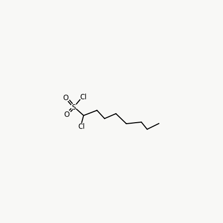 CCCCCCCC(Cl)S(=O)(=O)Cl